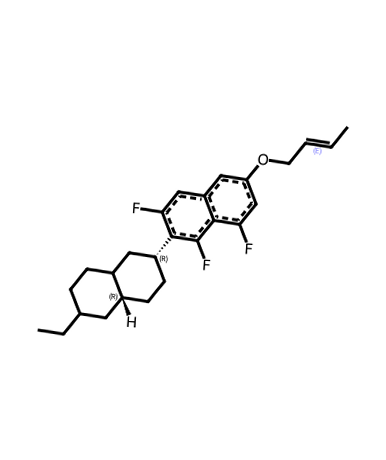 C/C=C/COc1cc(F)c2c(F)c([C@@H]3CC[C@@H]4CC(CC)CCC4C3)c(F)cc2c1